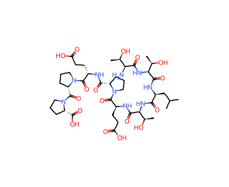 CC(C)C[C@H](NC(=O)[C@@H](NC(=O)[C@@H](N)[C@@H](C)O)[C@@H](C)O)C(=O)N[C@H](C(=O)N[C@@H](CCC(=O)O)C(=O)N1CCC[C@H]1C(=O)N[C@@H](CCC(=O)O)C(=O)N1CCC[C@H]1C(=O)N1CCC[C@H]1C(=O)O)[C@@H](C)O